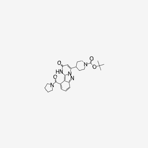 CC(C)(C)OC(=O)N1CCC(c2cc(=O)[nH]c3c4c(C(=O)N5CCCC5)cccc4nn23)CC1